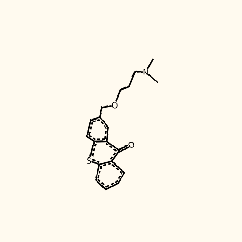 CN(C)CCCOCc1ccc2sc3ccccc3c(=O)c2c1